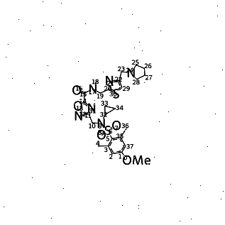 COc1cc(C)c(S(=O)(=O)N(Cc2noc(C(=O)N(C)Cc3nc(CN4CCCC4)cs3)n2)C2CC2)c(C)c1